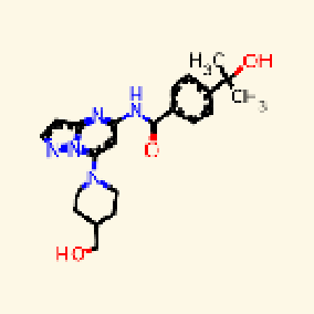 CC(C)(O)c1ccc(C(=O)Nc2cc(N3CCC(CO)CC3)n3nccc3n2)cc1